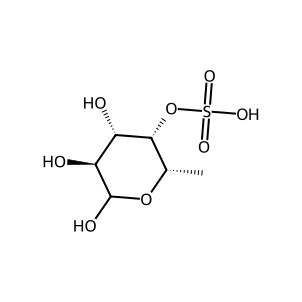 C[C@@H]1OC(O)[C@@H](O)[C@H](O)[C@@H]1OS(=O)(=O)O